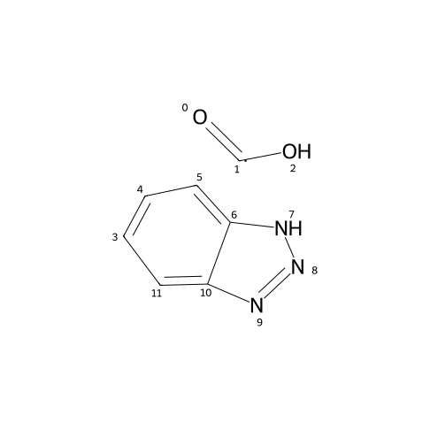 O=[C]O.c1ccc2[nH]nnc2c1